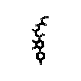 CC(=O)N(C[C@@H](C)CNC(=O)OC(C)(C)C)c1ccc(N2C=CC(=O)CC2)c(F)c1F